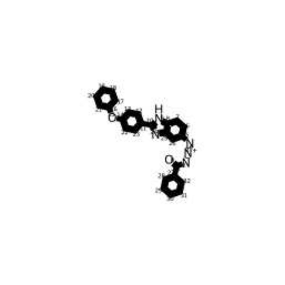 O=C(N=[N+]=Nc1ccc2[nH]c(-c3ccc(Oc4ccccc4)cc3)nc2c1)c1ccccc1